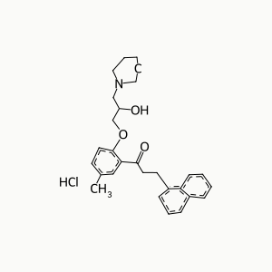 Cc1ccc(OCC(O)CN2CCCCC2)c(C(=O)CCc2cccc3ccccc23)c1.Cl